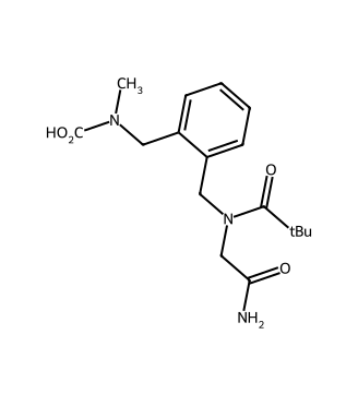 CN(Cc1ccccc1CN(CC(N)=O)C(=O)C(C)(C)C)C(=O)O